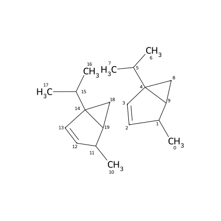 CC1C=CC2(C(C)C)CC12.CC1C=CC2(C(C)C)CC12